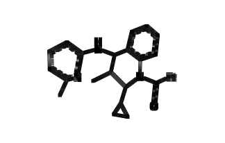 CCC(=O)N1c2ccccc2C(Nc2cccc(C)n2)C(C)C1C1CC1